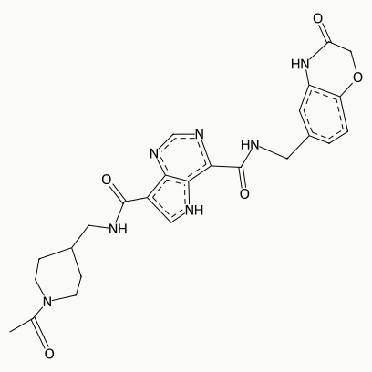 CC(=O)N1CCC(CNC(=O)c2c[nH]c3c(C(=O)NCc4ccc5c(c4)NC(=O)CO5)ncnc23)CC1